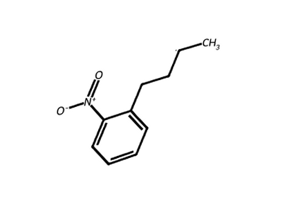 C[CH]CCc1ccccc1[N+](=O)[O-]